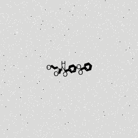 O=CCC[C@@H](C=O)NC(=O)c1ccc(OC(=O)c2ccccc2)cc1